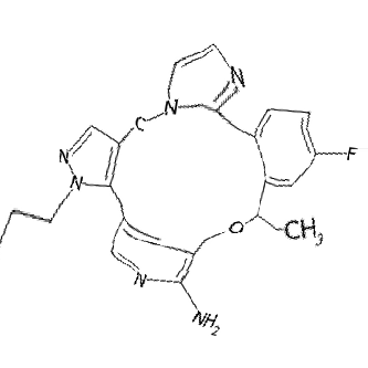 CC1Oc2cc(cnc2N)-c2c(cnn2CCF)Cn2ccnc2-c2ccc(F)cc21